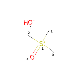 C[S+](C)(C)=O.[OH-]